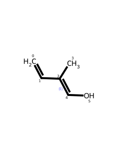 C=C/C(C)=C/O